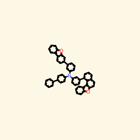 c1ccc(-c2ccc(N(c3cccc(-c4ccc5c(c4)oc4ccccc45)c3)c3cccc(-c4cccc5ccc6oc7ccccc7c6c45)c3)cc2)cc1